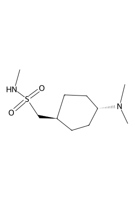 CNS(=O)(=O)C[C@H]1CC[C@H](N(C)C)CC1